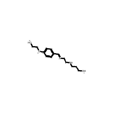 OCCCNCC/N=C/c1ccc(OCCO)cc1